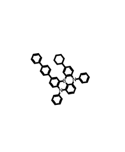 c1ccc(-c2ccc(-c3ccc4c(c3)B3c5cc(C6CCCCC6)ccc5N(c5ccccc5)c5cccc(c53)N4c3ccccc3)cc2)cc1